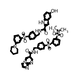 CN(C)S(=O)(=O)c1cccc(S(=O)(=O)c2ccc(CNC(=O)c3cnc4nccn4c3)cc2)c1.O=C(NCc1ccc(S(=O)(=O)c2cccc(N3CCCCC3)c2)cc1)c1cc2cc(O)ccc2[nH]1